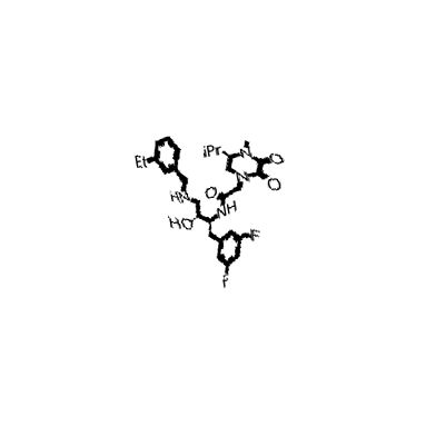 CCc1cccc(CNC[C@@H](O)[C@H](Cc2cc(F)cc(F)c2)NC(=O)CN2C[C@@H](C(C)C)N(C)C(=O)C2=O)c1